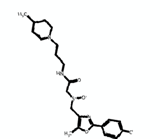 Cc1oc(-c2ccc(Cl)cc2)nc1C[S+]([O-])CC(=O)NCCCN1CCC(C)CC1